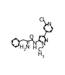 CCn1nc(-c2ccnc(Cl)c2)cc1NC(=O)[C@@H](N)Cc1ccccc1